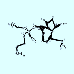 CCCSP(=O)(OCC)Oc1ccc(SC)c2c1CCC2=O